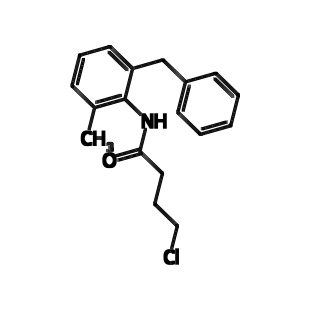 Cc1cccc(Cc2ccccc2)c1NC(=O)CCCCl